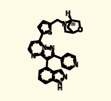 c1cc(-c2c(-c3ccncc3)nn3c(-c4ccc(CN5CC6C[C@H]5CO6)s4)ccnc23)c2cn[nH]c2c1